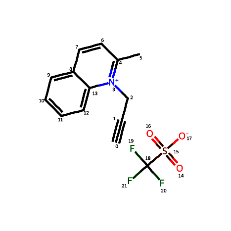 C#CC[n+]1c(C)ccc2ccccc21.O=S(=O)([O-])C(F)(F)F